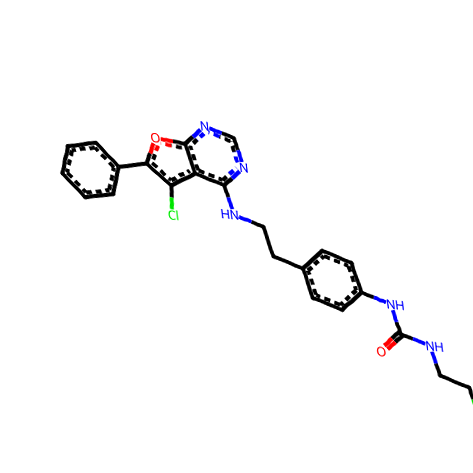 O=C(NCCCl)Nc1ccc(CCNc2ncnc3oc(-c4ccccc4)c(Cl)c23)cc1